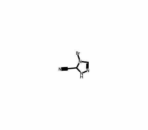 N#CC1NN=CN1Br